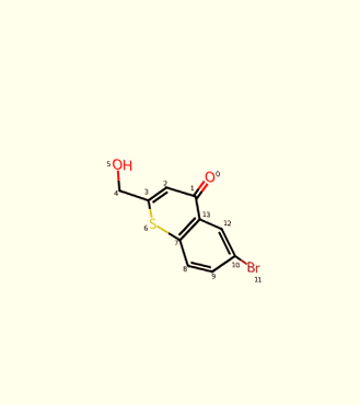 O=c1cc(CO)sc2ccc(Br)cc12